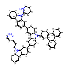 N/C=C\C=C/CN1C2CCC=CC2C2CC=C(C3C=CC4C(C3)C3=CC(C5C=CC6=C(C5)N(C5=CCCCN5)C5CCC=CC65)CCC3N4C3=CC4=C(CC3)C3=C(C=CCC3)C3C=CC=CC43)CC21